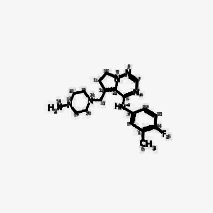 Cc1cc(NC2=NC=NN3CCC(CN4CCN(N)CC4)=C23)ccc1F